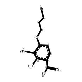 CCCc1c(OCCCBr)ccc(C(=O)CC)c1O